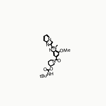 COc1cc(C(=O)N2CCC[C@@H](OC(=O)NC(C)(C)C)C2)cc2nc(-c3cn4ccccc4n3)n(C)c12